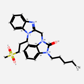 CS(=O)(=O)CCCn1c(Cn2c(=O)n(CCCCC#N)c3ccccc32)nc2ccccc21